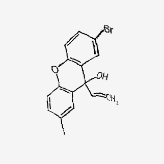 C=CC1(O)c2cc(Br)ccc2Oc2ccc(I)cc21